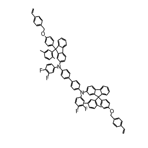 C=Cc1ccc(COc2ccc(C3(c4cc(C)ccc4C)c4ccccc4-c4ccc(N(c5ccc(-c6ccc(N(c7ccc(F)c(F)c7)c7ccc8c(c7)C(c7ccc(OCc9ccc(C=C)cc9)cc7)(c7cc(C)ccc7C)c7ccccc7-8)cc6)cc5)c5ccc(F)c(F)c5)cc43)cc2)cc1